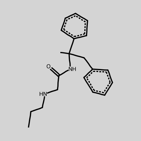 CCCNCC(=O)NC(C)(Cc1ccccc1)c1ccccc1